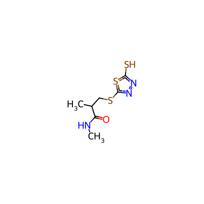 CNC(=O)C(C)CSc1nnc(S)s1